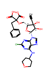 C#C[C@@]1(O)[C@@H](COC(Cc2ccccc2)(C(=O)O)C(=O)O)O[C@@H](n2cnc3c(NC4CCOCC4)nc(Cl)nc32)[C@@H]1O